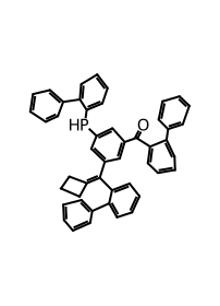 O=C(c1cc(Pc2ccccc2-c2ccccc2)cc(C(=C2CCC2)c2ccccc2-c2ccccc2)c1)c1ccccc1-c1ccccc1